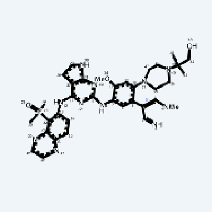 CN/C=C(\C=N)c1cc(Nc2nc(Nc3ccc4nccnc4c3P(C)(C)=O)c3cc[nH]c3n2)c(OC)cc1N1CCN(C(C)(C)CO)CC1